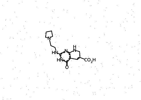 O=C(O)C1=Cc2c(nc(NCCN3CCCC3)[nH]c2=O)NC1